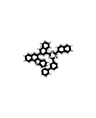 c1ccc(-c2cccc(-c3nc(-c4ccc5ccccc5c4)nc(-c4cc(-c5cc6ccccc6c6sc7ccccc7c56)cc5ccccc45)n3)c2)cc1